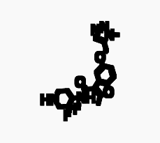 Cc1oc2ccc(OCc3cnnn3C)cc2c1C(=O)NC1CCNCC1(F)F